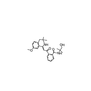 COc1ccc2c(c1)C(=CC(=O)c1ccccc1C(=O)NC(C)(C)CO)NC(C)(C)C2